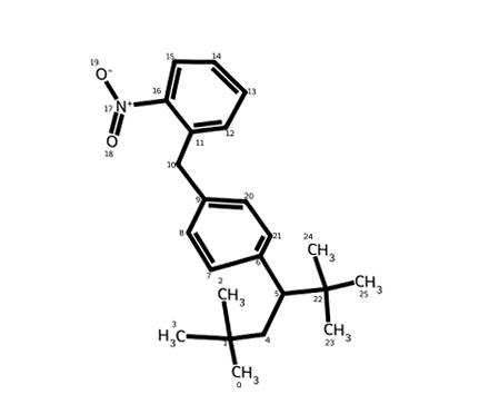 CC(C)(C)CC(c1ccc(Cc2ccccc2[N+](=O)[O-])cc1)C(C)(C)C